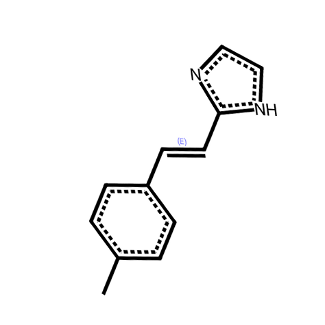 Cc1ccc(/C=C/c2ncc[nH]2)cc1